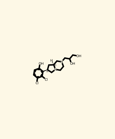 OCC(O)CN1CCN2C[C@@H](c3c(O)ccc(Cl)c3Cl)C[C@H]2C1